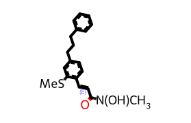 CSc1cc(CCCc2ccccc2)ccc1/C=C/C(=O)N(C)O